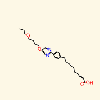 CCCOCCCCOc1cnc(-c2ccc(CCCCCCC/C=C/C(=O)O)cc2)nc1